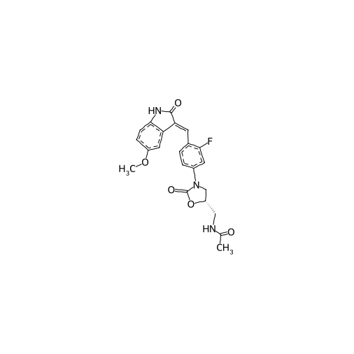 COc1ccc2c(c1)/C(=C\c1ccc(N3C[C@H](CNC(C)=O)OC3=O)cc1F)C(=O)N2